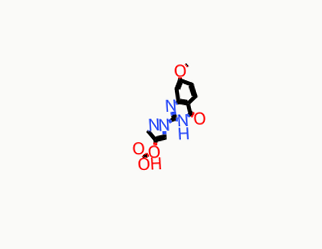 COc1ccc2c(=O)[nH]c(-n3cc(OC(=O)O)cn3)nc2c1